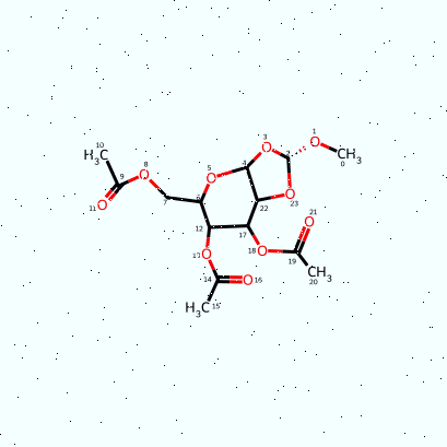 CO[C@H]1OC2OC(COC(C)=O)C(OC(C)=O)C(OC(C)=O)C2O1